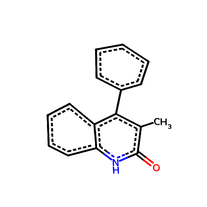 Cc1c(-c2ccccc2)c2ccccc2[nH]c1=O